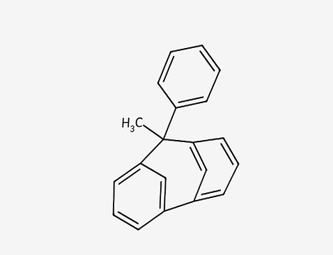 CC1(c2ccccc2)c2cccc(c2)-c2cccc1c2